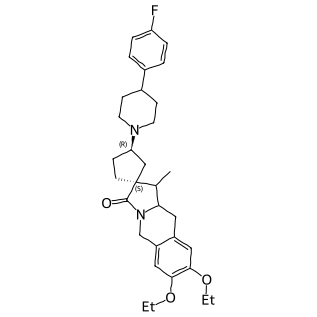 CCOc1cc2c(cc1OCC)CN1C(=O)[C@]3(CC[C@@H](N4CCC(c5ccc(F)cc5)CC4)C3)C(C)C1C2